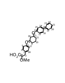 COC(Cc1ccc(OC2CCCC(Oc3ccc(-c4ccccc4)cc3)C2)cc1)C(=O)O